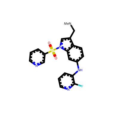 CNCc1cn(S(=O)(=O)c2cccnc2)c2cc(Nc3cccnc3F)ccc12